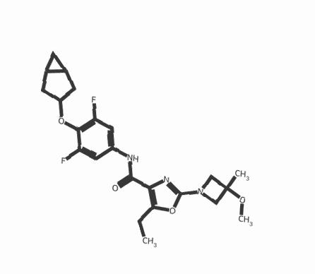 CCc1oc(N2CC(C)(OC)C2)nc1C(=O)Nc1cc(F)c(OC2CC3CC3C2)c(F)c1